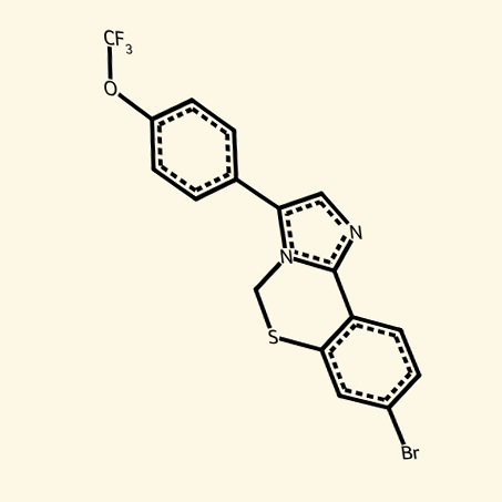 FC(F)(F)Oc1ccc(-c2cnc3n2CSc2cc(Br)ccc2-3)cc1